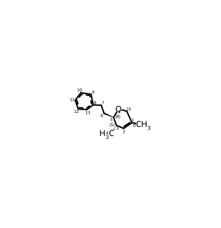 CC1=C[C@H](C)[C@@H](CCc2ccccc2)OC1